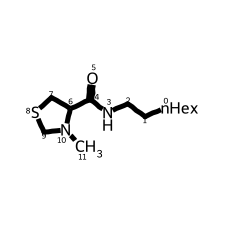 CCCCCCCCNC(=O)C1CSCN1C